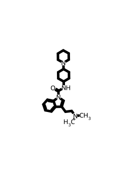 CN(C)CCc1cn(C(=O)NC2CCC(N3CCCCC3)CC2)c2ccccc12